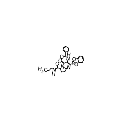 CCCNC(=O)C1CCc2nc(B3Oc4ccccc4O3)c(NC(=O)c3ccccc3)c(=O)n21